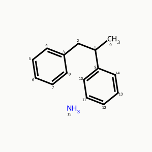 CC(Cc1ccccc1)c1ccccc1.N